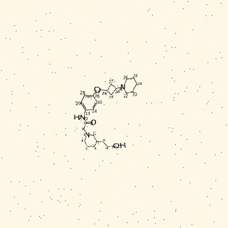 O=C(CN1CCCC(CCO)C1)Nc1ccc(OC2CC(N3CCCCC3)C2)cc1